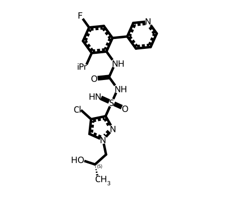 CC(C)c1cc(F)cc(-c2cccnc2)c1NC(=O)NS(=N)(=O)c1nn(C[C@H](C)O)cc1Cl